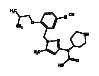 Cc1cc(N(C(=O)O)C2CCNCC2)nn1Cc1cc(Cl)ccc1OCC(C)C.Cl